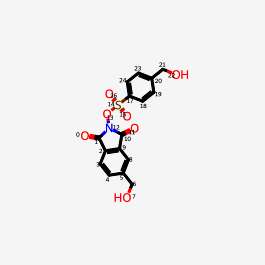 O=C1c2ccc(CO)cc2C(=O)N1OS(=O)(=O)c1ccc(CO)cc1